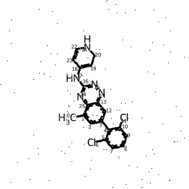 Cc1cc(-c2c(Cl)cccc2Cl)cc2nnc(NC3=CCNC=C3)nc12